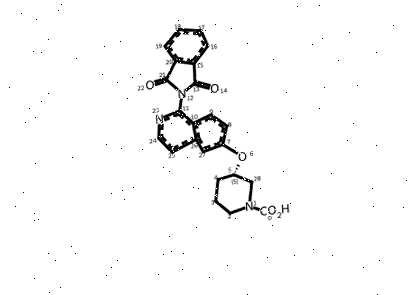 O=C(O)N1CCC[C@H](Oc2ccc3c(N4C(=O)c5ccccc5C4=O)nccc3c2)C1